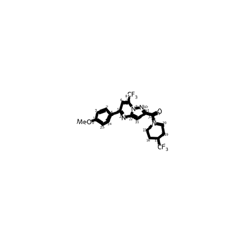 COc1ccc(-c2cc(C(F)(F)F)n3nc(C(=O)N4CCC(C(F)(F)F)CC4)cc3n2)cc1